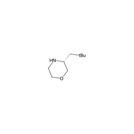 CC(C)(C)C[C@@H]1COCCN1